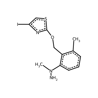 Cc1cccc(N(C)N)c1COc1nc(I)cs1